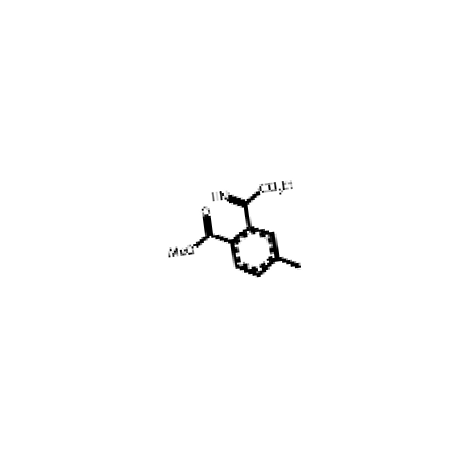 CCOC(=O)C(=N)c1cc(C)ccc1C(=O)OC